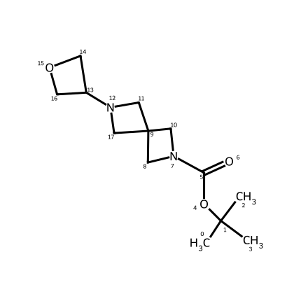 CC(C)(C)OC(=O)N1CC2(C1)CN(C1COC1)C2